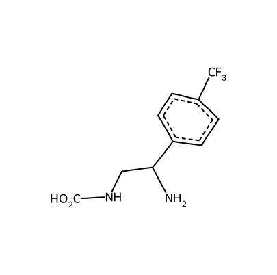 NC(CNC(=O)O)c1ccc(C(F)(F)F)cc1